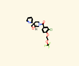 O=C(c1ccc(OCCOC(F)(F)F)c(Cl)c1)N1CC[C@]2(c3ccccn3)CO[C@@H]2C1